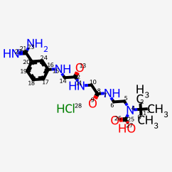 CC(C)(C)N(CCNC(=O)CNC(=O)CNc1cccc(C(=N)N)c1)C(=O)O.Cl